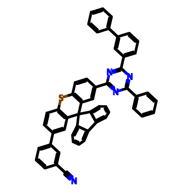 N#Cc1cccc(-c2ccc3c(c2)C2(c4cc(-c5nc(-c6ccccc6)nc(-c6cccc(-c7ccccc7)c6)n5)ccc4S3)c3ccccc3-c3ccccc32)c1